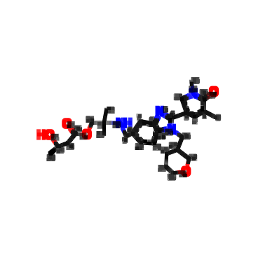 Cc1cc(-c2nc3cc(CNC(C)(C)COC(=O)C[C@@H](C)O)ccc3n2CC2CCCOC2)cn(C)c1=O